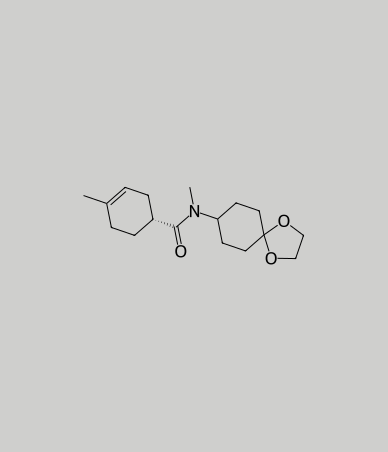 CC1=CC[C@H](C(=O)N(C)C2CCC3(CC2)OCCO3)CC1